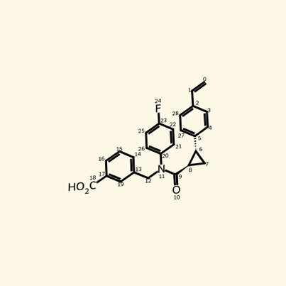 C=Cc1ccc([C@@H]2C[C@H]2C(=O)N(Cc2cccc(C(=O)O)c2)c2ccc(F)cc2)cc1